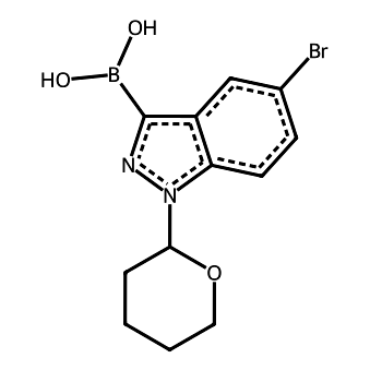 OB(O)c1nn(C2CCCCO2)c2ccc(Br)cc12